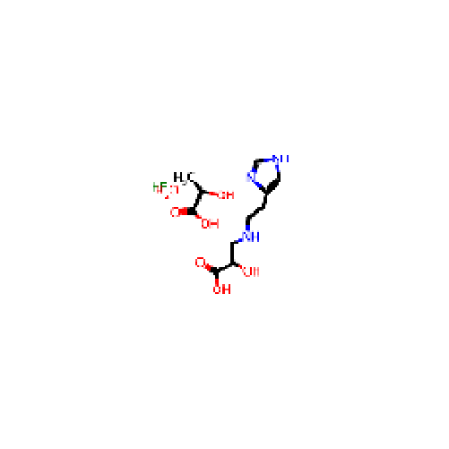 CC(O)C(=O)O.F.O.O=C(O)C(O)CNCCc1c[nH]cn1